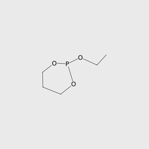 CCOP1OCCCO1